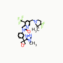 C[C@@H]1CN(Cc2cc(C(F)(F)F)c3cn(-c4cccc(C5(c6nncn6C)COC5)c4)c(=O)n3c2)CCC1(F)F